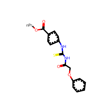 CCCOC(=O)c1ccc(NC(=S)NC(=O)COc2ccccc2)cc1